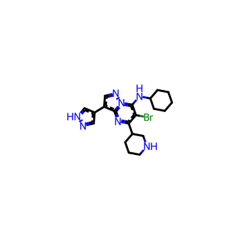 Brc1c(C2CCCNC2)nc2c(-c3cn[nH]c3)cnn2c1NC1CCCCC1